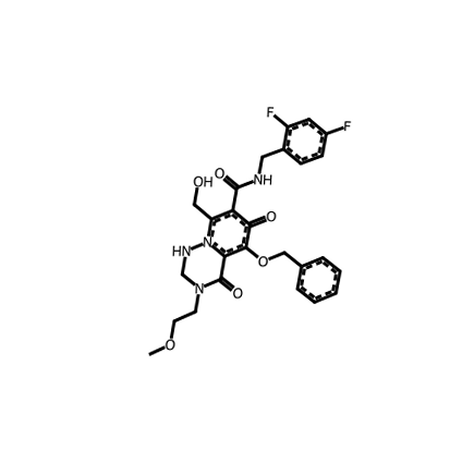 COCCN1CNn2c(CO)c(C(=O)NCc3ccc(F)cc3F)c(=O)c(OCc3ccccc3)c2C1=O